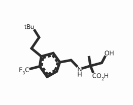 CC(C)(C)CCc1cc(CNC(C)(CO)C(=O)O)ccc1C(F)(F)F